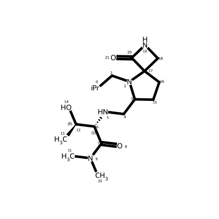 CC(C)CN1C(CN[C@H](C(=O)N(C)C)[C@@H](C)O)CCC12CNC2=O